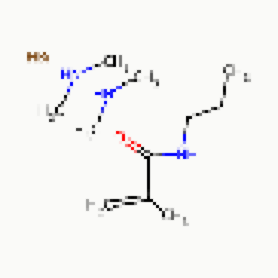 Br.C=C(C)C(=O)NCCC.CNC.CNC